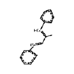 C[C]([CH]=[GeH][c]1ccccc1)=[GeH][c]1ccccc1